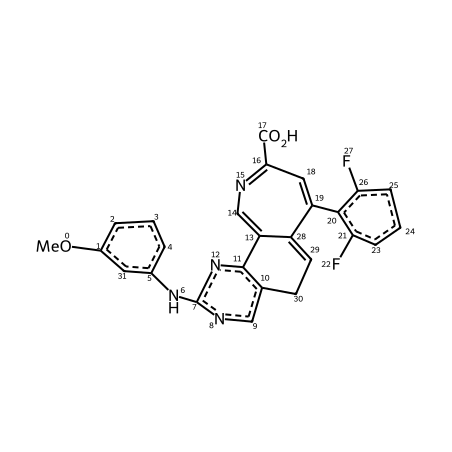 COc1cccc(Nc2ncc3c(n2)C2=CN=C(C(=O)O)C=C(c4c(F)cccc4F)C2=CC3)c1